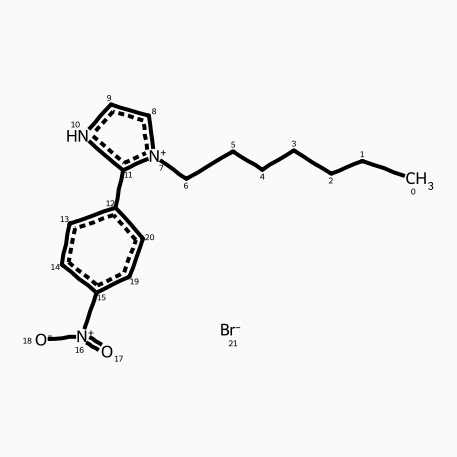 CCCCCCC[n+]1cc[nH]c1-c1ccc([N+](=O)[O-])cc1.[Br-]